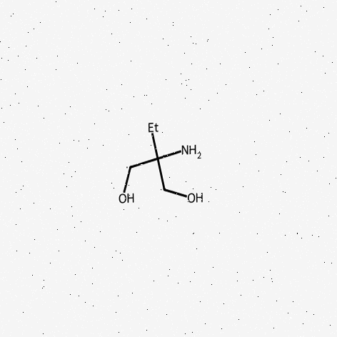 CCC(N)([CH]O)[CH]O